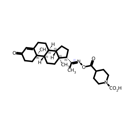 C/C(=N\OC(=O)C1CCN(C(=O)O)CC1)[C@H]1CC[C@H]2[C@@H]3CCC4=CC(=O)CC[C@]4(C)[C@H]3CC[C@]12C